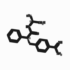 CCCC[C@H](NC(=O)[C@H](Cc1ccc(C(=N)N)cc1)c1ccccc1)C(=O)O